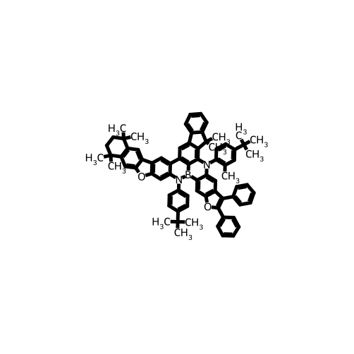 Cc1cc(C(C)(C)C)ccc1N1c2cc3c(-c4ccccc4)c(-c4ccccc4)oc3cc2B2c3c(cc4c(c31)C(C)(C)c1ccccc1-4)-c1cc3c(cc1N2c1ccc(C(C)(C)C)cc1)oc1cc2c(cc13)C(C)(C)CCC2(C)C